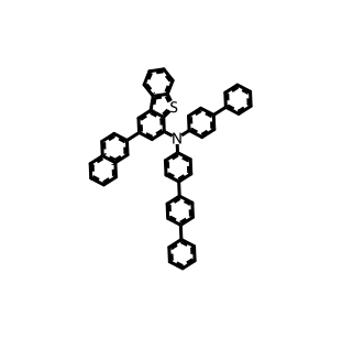 c1ccc(-c2ccc(-c3ccc(N(c4ccc(-c5ccccc5)cc4)c4cc(-c5ccc6ccccc6c5)cc5c4sc4ccccc45)cc3)cc2)cc1